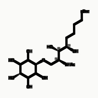 CCCCCCCCCCCCCC[C@@H](O)[C@@H](O)[C@H](CO[C@H]1C(O)C(O)[C@H](O)C(O)C1O)NC(C)=O